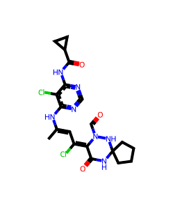 C/C(=C\C(Cl)=C1\C(=O)NC2(CCCC2)NN1C=O)Nc1ncnc(NC(=O)C2CC2)c1Cl